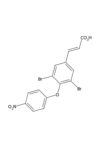 O=C(O)/C=C/c1cc(Br)c(Oc2ccc([N+](=O)[O-])cc2)c(Br)c1